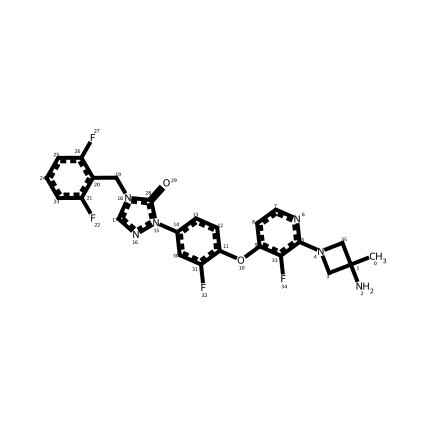 CC1(N)CN(c2nccc(Oc3ccc(-n4ncn(Cc5c(F)cccc5F)c4=O)cc3F)c2F)C1